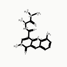 Cc1cccc2cc3c(=O)n(C)cc(C(=O)N[C@@H](C)C(=O)N(C)C)c3nc12